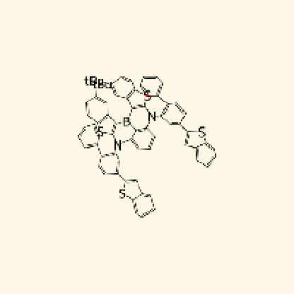 CC(C)(C)c1ccc2sc3c(c2c1)B1c2c(cccc2N(c2cc(-c4cc5ccccc5s4)ccc2-c2ccccc2)c2sc4ccc(C(C)(C)C)cc4c21)N3c1cc(-c2cc3ccccc3s2)ccc1-c1ccccc1